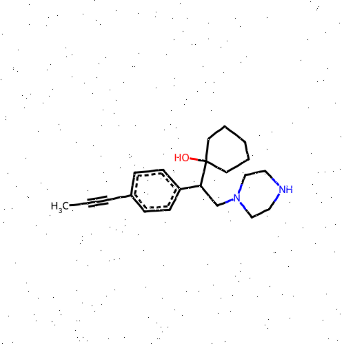 CC#Cc1ccc(C(CN2CCNCC2)C2(O)CCCCC2)cc1